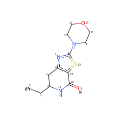 CC(C)CC1Cc2nc(N3CCOCC3)sc2C(=O)N1